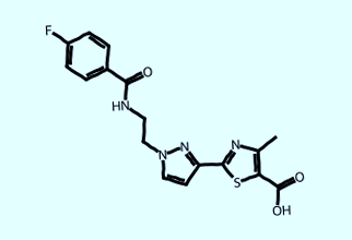 Cc1nc(-c2ccn(CCNC(=O)c3ccc(F)cc3)n2)sc1C(=O)O